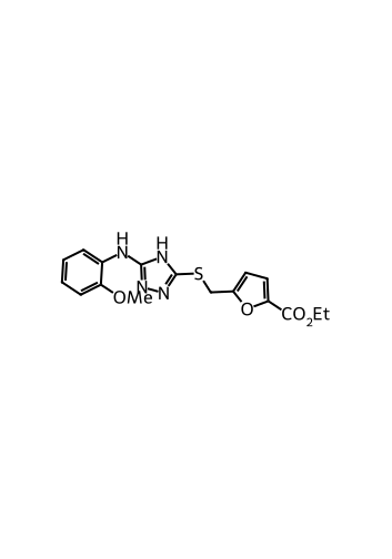 CCOC(=O)c1ccc(CSc2nnc(Nc3ccccc3OC)[nH]2)o1